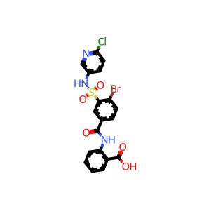 O=C(Nc1ccccc1C(=O)O)c1ccc(Br)c(S(=O)(=O)Nc2ccc(Cl)nc2)c1